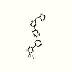 Cn1cc(-c2cccc(-c3ncc(-c4cnn(Cc5ncco5)c4)cn3)c2)cn1